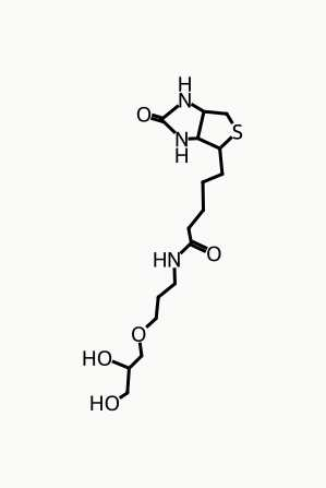 O=C(CCCCC1SCC2NC(=O)NC21)NCCCOCC(O)CO